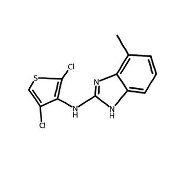 Cc1cccc2[nH]c(Nc3c(Cl)csc3Cl)nc12